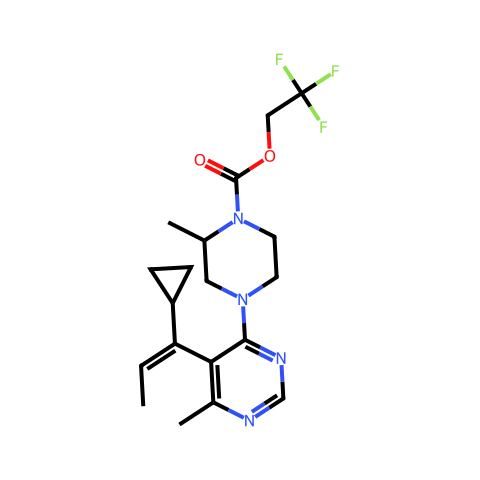 C/C=C(\c1c(C)ncnc1N1CCN(C(=O)OCC(F)(F)F)C(C)C1)C1CC1